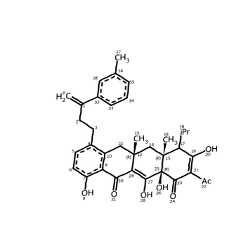 C=C(CCc1ccc(O)c2c1C[C@]1(C)C[C@]3(C)C(C(C)C)C(O)=C(C(C)=O)C(=O)[C@]3(O)C(O)=C1C2=O)c1cccc(C)c1